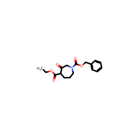 CCOC(=O)C1CCCN(C(=O)OCc2ccccc2)CC1=O